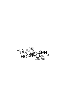 COc1cc2c(cc1O)[C@H]1Cc3ccc(C=O)c(OC)c3CN1CC2